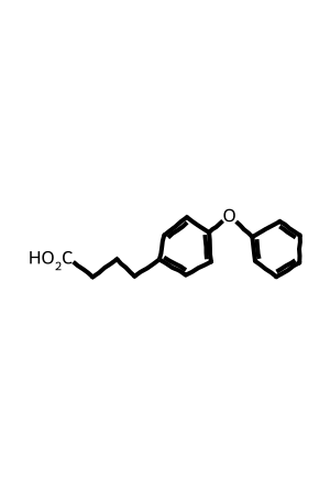 O=C(O)CCCc1ccc(Oc2ccccc2)cc1